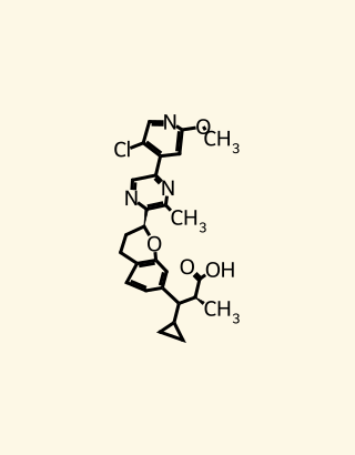 COc1cc(-c2cnc([C@@H]3CCc4ccc(C(C5CC5)[C@H](C)C(=O)O)cc4O3)c(C)n2)c(Cl)cn1